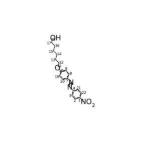 O=[N+]([O-])c1ccc(N=Nc2ccc(OCCCCCCO)cc2)cc1